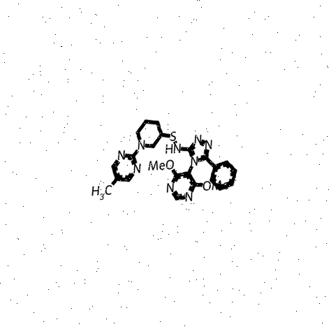 COc1ncnc(OC)c1-n1c(NSC2CCCN(c3ncc(C)cn3)C2)nnc1-c1ccccc1